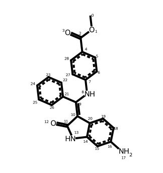 COC(=O)c1ccc(NC(=C2C(=O)Nc3cc(N)ccc32)c2ccccc2)cc1